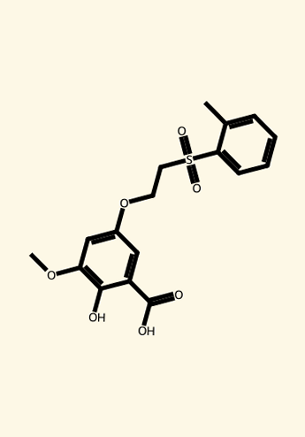 COc1cc(OCCS(=O)(=O)c2ccccc2C)cc(C(=O)O)c1O